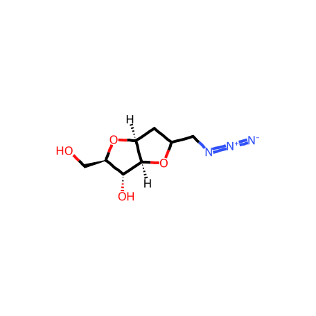 [N-]=[N+]=NCC1C[C@@H]2O[C@H](CO)[C@@H](O)[C@@H]2O1